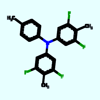 Cc1ccc(N(c2cc(F)c(C)c(F)c2)c2cc(F)c(C)c(F)c2)cc1